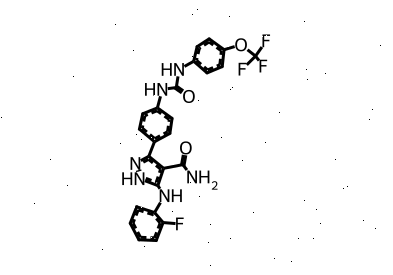 NC(=O)c1c(-c2ccc(NC(=O)Nc3ccc(OC(F)(F)F)cc3)cc2)n[nH]c1Nc1ccccc1F